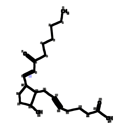 CCCCCCC(=O)/C=C/C1CCC(O)C1CC#CCCCC(=O)O